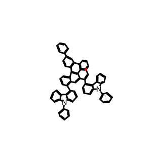 c1ccc(-c2ccc(-c3c4cccc(-c5cccc6c5c5ccccc5n6-c5ccccc5)c4cc4c(-c5cccc6c5c5ccccc5n6-c5ccccc5)cccc34)c(-c3ccccc3)c2)cc1